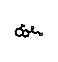 CC(=O)N1CCCCc2ccc(C(=O)CCCl)cc21